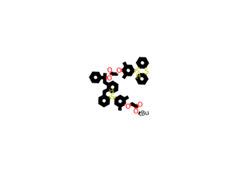 Cc1cc([SH]2c3ccccc3Cc3c(CC(C)(OC(=O)COc4c(C)cc([SH]5c6ccccc6Sc6ccccc65)cc4C)c4ccccc4)cccc32)cc(C)c1OCC(=O)OC(C)(C)C